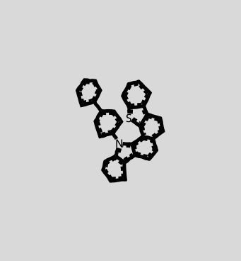 c1ccc(-c2ccc(-n3c4ccccc4c4ccc5ccc6c7ccccc7sc6c5c43)cc2)cc1